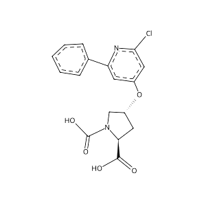 O=C(O)[C@@H]1C[C@@H](Oc2cc(Cl)nc(-c3ccccc3)c2)CN1C(=O)O